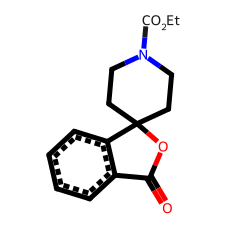 CCOC(=O)N1CCC2(CC1)OC(=O)c1ccccc12